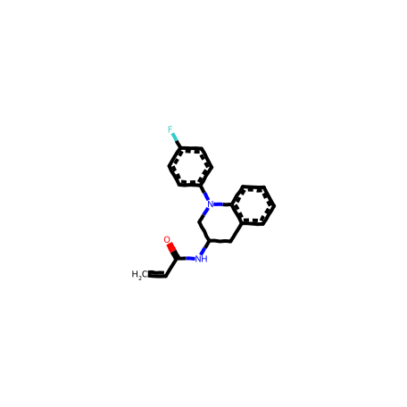 C=CC(=O)NC1Cc2ccccc2N(c2ccc(F)cc2)C1